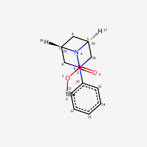 CC(C)(C)OC(=O)N1[C@H]2C[C@H]1CN(c1ccccc1)C2